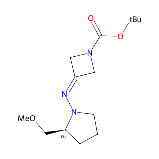 COC[C@@H]1CCCN1N=C1CN(C(=O)OC(C)(C)C)C1